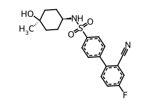 C[C@]1(O)CC[C@@H](NS(=O)(=O)c2ccc(-c3ccc(F)cc3C#N)cc2)CC1